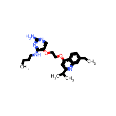 CCCCNc1nc(N)ncc1OCCOc1cc(C(C)C)nc2cc(CC)ccc12